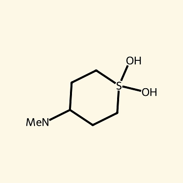 CNC1CCS(O)(O)CC1